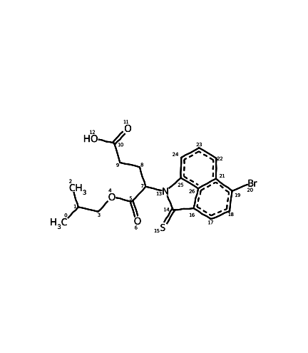 CC(C)COC(=O)C(CCC(=O)O)N1C(=S)c2ccc(Br)c3cccc1c23